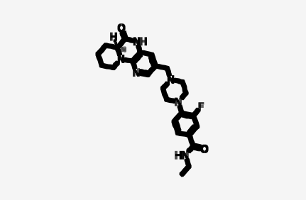 CCNC(=O)c1ccc(N2CCN(Cc3cnc4c(c3)NC(=O)[C@@H]3CCCCN43)CC2)c(F)c1